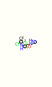 O=C(Cc1cc(Nc2c(Cl)cc(C(F)(F)F)cc2Cl)ccc1F)NCc1ccccn1